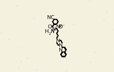 N#CC1CCc2c(c(=O)n(N)c(CCCCN3CCN(c4ccc5ccccc5n4)CC3)[n+]2[O-])C1